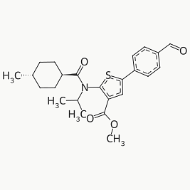 COC(=O)c1cc(-c2ccc(C=O)cc2)sc1N(C(=O)[C@H]1CC[C@H](C)CC1)C(C)C